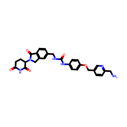 NCc1ccc(COc2ccc(NC(=O)NCc3ccc4c(c3)CN(C3CCC(=O)NC3=O)C4=O)cc2)cn1